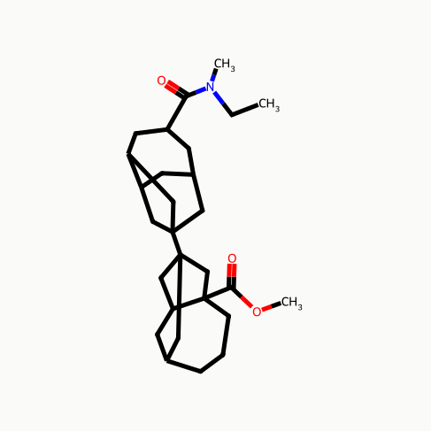 CCN(C)C(=O)C1CC2CC3CC(C45CC6CCCC(C(=O)OC)(C4)C(C6)C5)(C2)CC3C1